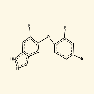 Fc1cc(Br)ccc1Oc1cc2cn[nH]c2cc1F